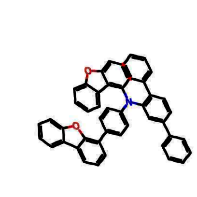 c1ccc(-c2ccc(-c3ccccc3)c(N(c3ccc(-c4cccc5c4oc4ccccc45)cc3)c3cccc4oc5ccccc5c34)c2)cc1